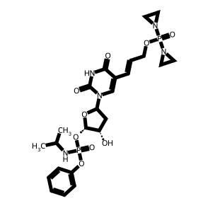 CC(C)NP(=O)(Oc1ccccc1)O[C@@H]1OC(n2cc(/C=C/COP(=O)(N3CC3)N3CC3)c(=O)[nH]c2=O)C[C@@H]1O